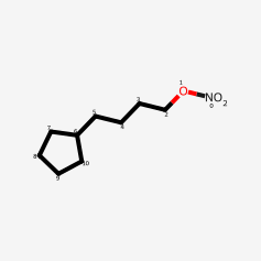 O=[N+]([O-])OCCCCC1C[CH]CC1